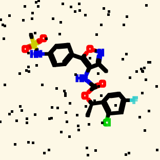 Cc1noc(-c2ccc(NS(C)(=O)=O)cc2)c1NC(=O)O[C@H](C)c1ccc(F)cc1Cl